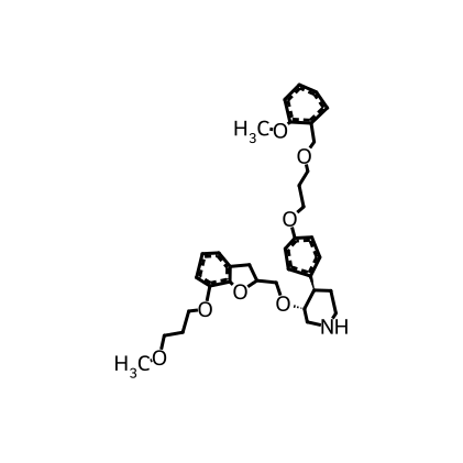 COCCCOc1cccc2c1OC(CO[C@H]1CNCC[C@@H]1c1ccc(OCCCOCc3ccccc3OC)cc1)C2